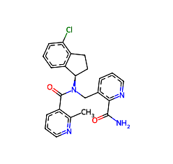 Cc1ncccc1C(=O)N(Cc1cccnc1C(N)=O)[C@@H]1CCc2c(Cl)cccc21